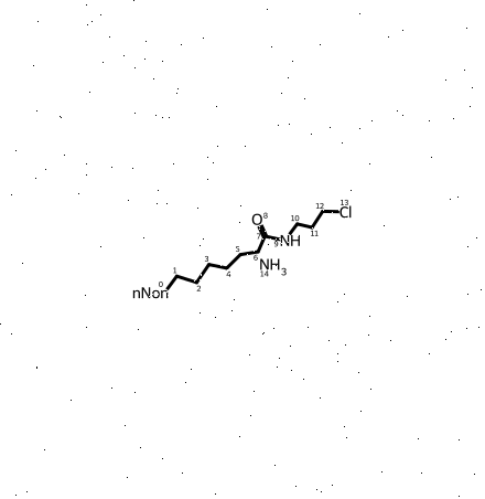 CCCCCCCCCCCCCCCC(=O)NCCCCl.N